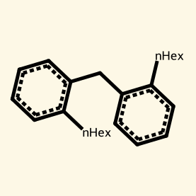 CCCCCCc1ccccc1Cc1ccccc1CCCCCC